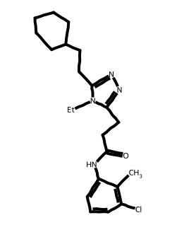 CCn1c(CCC(=O)Nc2cccc(Cl)c2C)nnc1CCC1CCCCC1